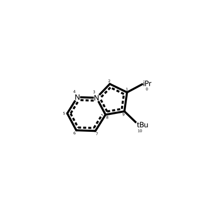 CC(C)c1cn2ncccc2c1C(C)(C)C